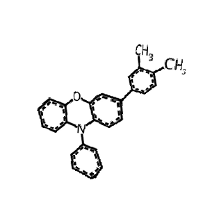 Cc1ccc(-c2ccc3c(c2)Oc2ccccc2N3c2ccccc2)cc1C